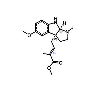 COC(=O)/C(C)=C/C[C@@]12CCN(C)[C@@H]1Nc1ccc(OC)cc12